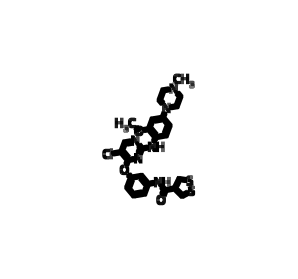 COc1cc(N2CCN(C)CC2)ccc1Nc1ncc(Cl)c(Oc2cccc(NC(=O)C3CSSC3)c2)n1